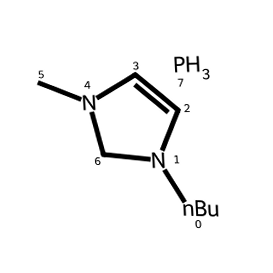 CCCCN1C=CN(C)C1.P